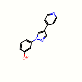 Oc1cccc(-n2cc(-c3ccncc3)cn2)c1